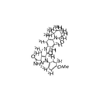 [2H]c1c([2H])c(-n2nc(C(N)=O)c3c2C(=O)N(c2c([2H])c([2H])c(N4C(=O)C([2H])([2H])C([2H])([2H])C([2H])([2H])C4([2H])[2H])c([2H])c2[2H])CC3([2H])[2H])c([2H])c([2H])c1OC